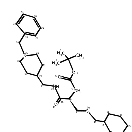 CC(C)(C)OC(=O)N[C@@H](CSCC1CCCCC1)C(=O)NCC1CCN(Cc2ccccc2)CC1